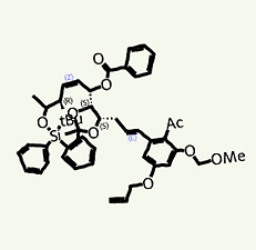 C=CCOc1cc(/C=C/C[C@@H]2OC(C)(C)O[C@@H]2C(/C=C\[C@@H](C)C(C)O[Si](c2ccccc2)(c2ccccc2)C(C)(C)C)OC(=O)c2ccccc2)c(C(C)=O)c(OCOC)c1